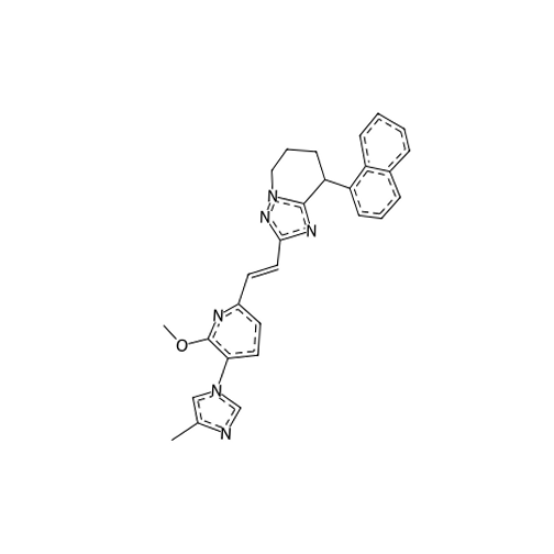 COc1nc(C=Cc2nc3n(n2)CCCC3c2cccc3ccccc23)ccc1-n1cnc(C)c1